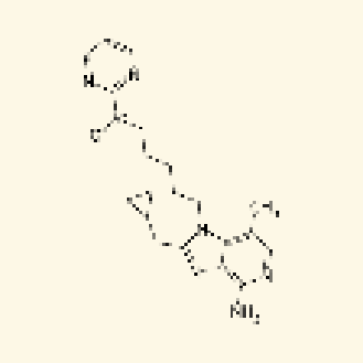 Cc1cnc(N)c2nc(CC3CC3)n(CCCCC[S+]([O-])c3ncccn3)c12